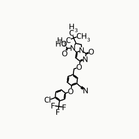 CC(C)(C)C1Cn2c(cc(OCc3ccc(Oc4ccc(Cl)c(C(F)(F)F)c4)c(C#N)c3)nc2=O)N1C(=O)O